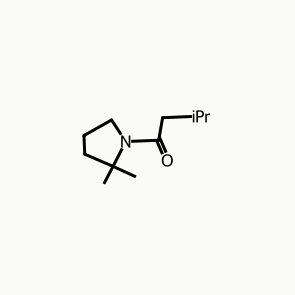 CC(C)CC(=O)N1CCCC1(C)C